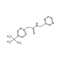 CC(C)(C)c1ccc(CC(=O)NCc2cnccn2)cc1